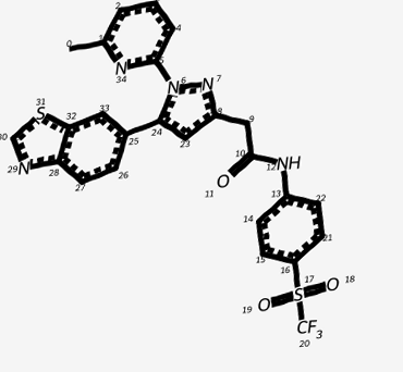 Cc1cccc(-n2nc(CC(=O)Nc3ccc(S(=O)(=O)C(F)(F)F)cc3)cc2-c2ccc3ncsc3c2)n1